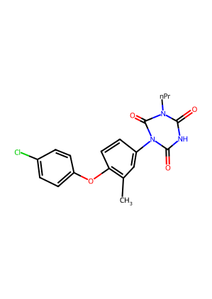 CCCn1c(=O)[nH]c(=O)n(-c2ccc(Oc3ccc(Cl)cc3)c(C)c2)c1=O